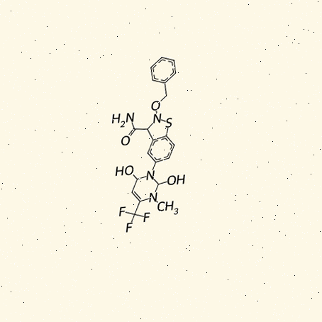 CN1C(C(F)(F)F)=CC(O)N(c2ccc3c(c2)C(C(N)=O)N(OCc2ccccc2)S3)C1O